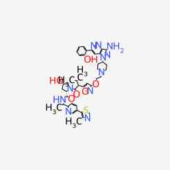 Cc1ncsc1-c1ccc(C(C)NC(=O)[C@@H]2C[C@@H](O)CN2C(=O)C(c2cc(OCCN3CCC(n4nc(N)c5nnc(-c6ccccc6O)cc54)CC3)no2)C(C)C)nc1